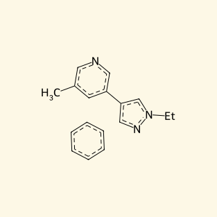 CCn1cc(-c2cncc(C)c2)cn1.c1ccccc1